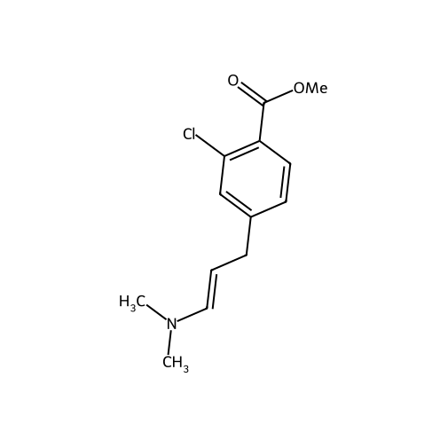 COC(=O)c1ccc(CC=CN(C)C)cc1Cl